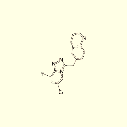 Fc1cc(Cl)cn2c(Cc3ccc4ncccc4c3)nnc12